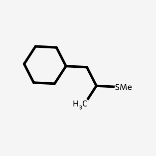 CSC(C)CC1CCCCC1